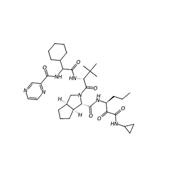 CCC[C@H](NC(=O)[C@@H]1[C@H]2CCC[C@H]2CN1C(=O)[C@H](NC(=O)C(NC(=O)c1cnccn1)C1CCCCC1)C(C)(C)C)C(=O)C(=O)NC1CC1